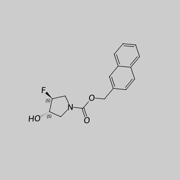 O=C(OCc1ccc2ccccc2c1)N1C[C@H](O)[C@@H](F)C1